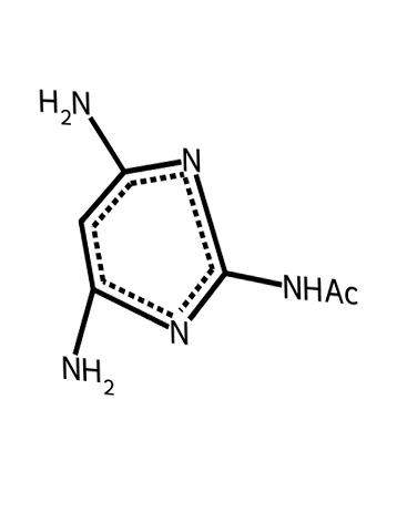 CC(=O)Nc1nc(N)cc(N)n1